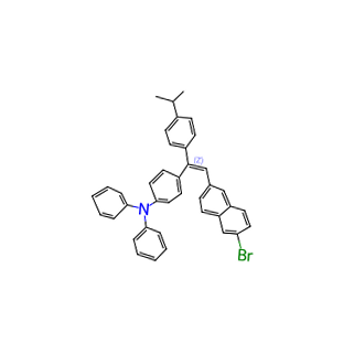 CC(C)c1ccc(/C(=C/c2ccc3cc(Br)ccc3c2)c2ccc(N(c3ccccc3)c3ccccc3)cc2)cc1